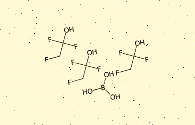 OB(O)O.OC(F)(F)CF.OC(F)(F)CF.OC(F)(F)CF